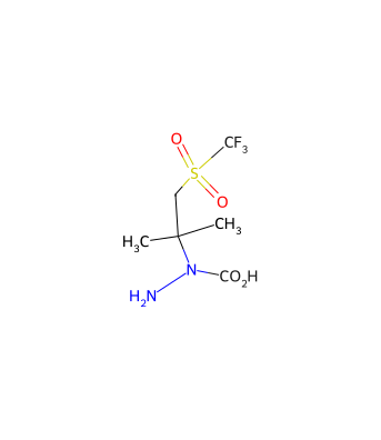 CC(C)(CS(=O)(=O)C(F)(F)F)N(N)C(=O)O